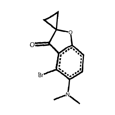 CN(C)c1ccc2c(c1Br)C(=O)C1(CC1)O2